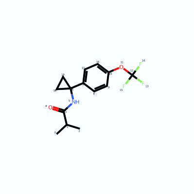 CC(C)C(=O)NC1(c2ccc(OC(F)(F)F)cc2)CC1